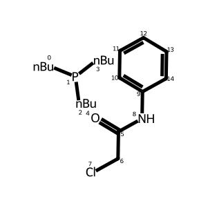 CCCCP(CCCC)CCCC.O=C(CCl)Nc1ccccc1